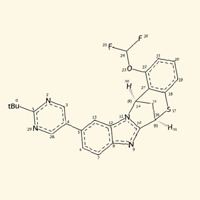 CC(C)(C)c1ncc(-c2ccc3nc4n(c3c2)[C@@H]2C[C@H]4Sc3cccc(OC(F)F)c32)cn1